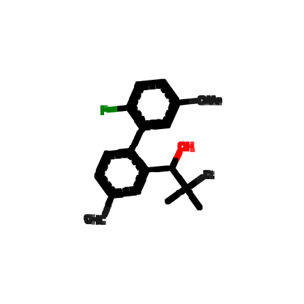 CCC(C)(C)C(O)c1cc(C=O)ccc1-c1cc(OC)ccc1F